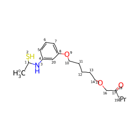 CC(S)Nc1cccc(OCCCCCOCC(=O)C(C)C)c1